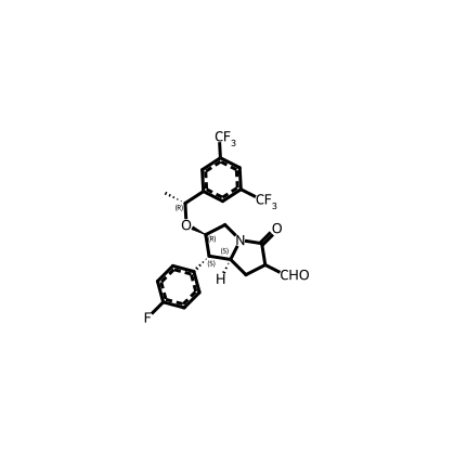 C[C@@H](O[C@H]1CN2C(=O)C(C=O)C[C@H]2[C@@H]1c1ccc(F)cc1)c1cc(C(F)(F)F)cc(C(F)(F)F)c1